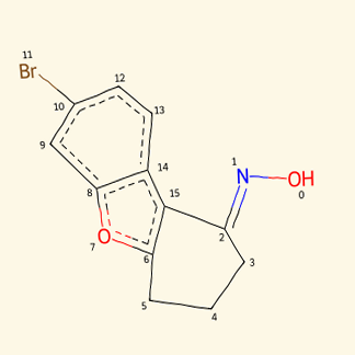 ON=C1CCCc2oc3cc(Br)ccc3c21